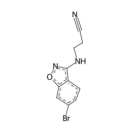 N#CCCNc1noc2cc(Br)ccc12